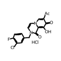 CC(=O)c1cn2ccn(Cc3ccc(F)c(Cl)c3)c(=O)c2c(O)c1=O.Cl